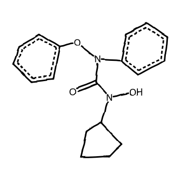 O=C(N(Oc1ccccc1)c1ccccc1)N(O)C1CCCC1